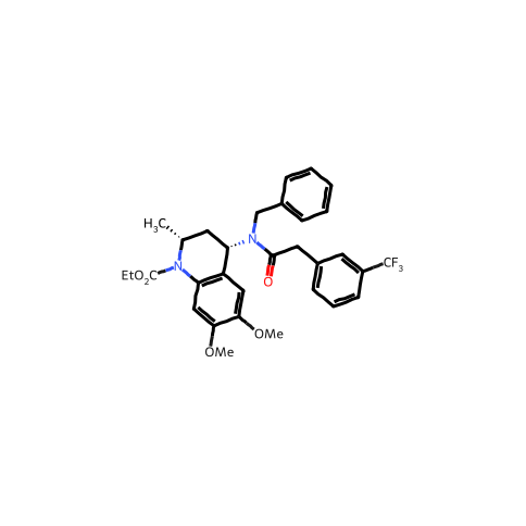 CCOC(=O)N1c2cc(OC)c(OC)cc2[C@@H](N(Cc2ccccc2)C(=O)Cc2cccc(C(F)(F)F)c2)C[C@H]1C